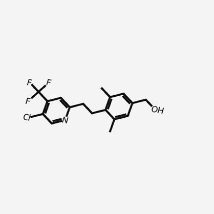 Cc1cc(CO)cc(C)c1CCc1cc(C(F)(F)F)c(Cl)cn1